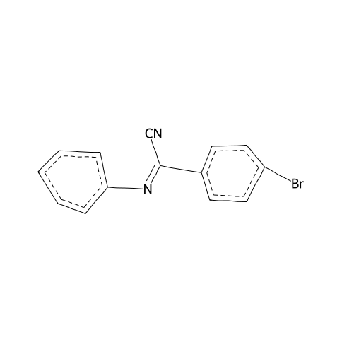 N#C/C(=N\c1ccccc1)c1ccc(Br)cc1